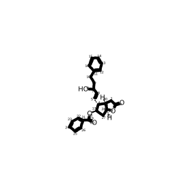 O=C1C[C@@H]2[C@@H](C=CC(O)CCc3ccccc3)[C@H](OC(=O)c3ccccc3)C[C@@H]2O1